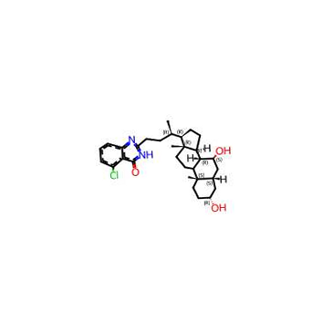 C[C@H](CCc1nc2cccc(Cl)c2c(=O)[nH]1)[C@H]1CC[C@H]2[C@H]3C(CC[C@]12C)[C@@]1(C)CC[C@@H](O)C[C@H]1C[C@@H]3O